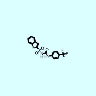 O=C(Nc1ccc(C(F)(F)F)cc1)NS(=O)(=O)c1cc2ccccc2s1